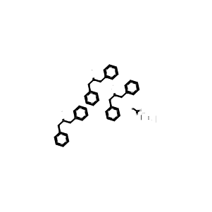 CC(=O)C(Cc1ccccc1)Cc1ccccc1.CC(=O)C(Cc1ccccc1)Cc1ccccc1.CC(=O)C(Cc1ccccc1)Cc1ccccc1.ClC(Cl)Cl.[Pd].[Pd]